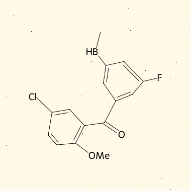 CBc1cc(F)cc(C(=O)c2cc(Cl)ccc2OC)c1